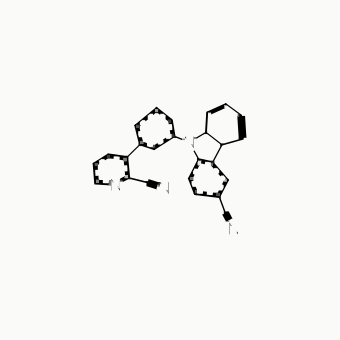 N#Cc1ccc2c(c1)C1C#CC=CC1N2c1cccc(-c2cccnc2C#N)c1